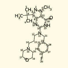 Cn1nc(C(C)(C)C)c2nc(N(CCCN3CCOCC3)Cc3ccc(F)cc3)[nH]c(=O)c21